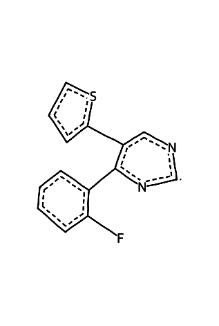 Fc1ccccc1-c1n[c]ncc1-c1cccs1